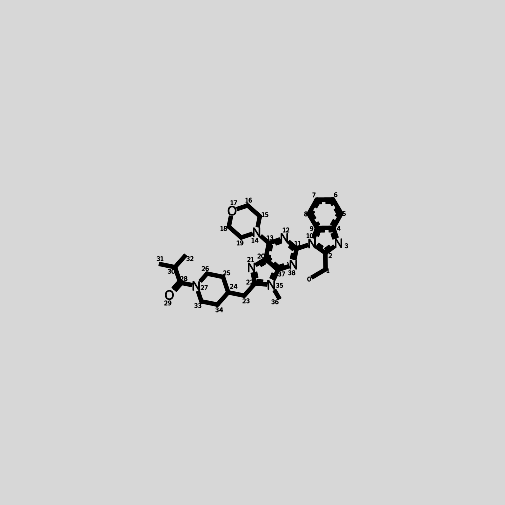 CCc1nc2ccccc2n1-c1nc(N2CCOCC2)c2nc(CC3CCN(C(=O)C(C)C)CC3)n(C)c2n1